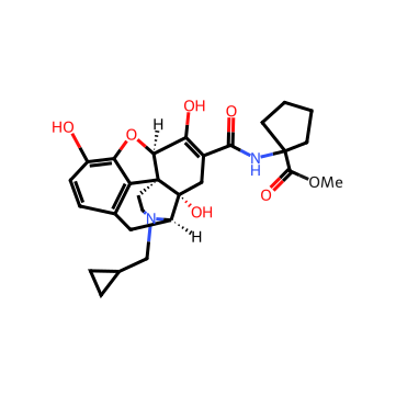 COC(=O)C1(NC(=O)C2=C(O)[C@@H]3Oc4c(O)ccc5c4[C@@]34CCN(CC3CC3)[C@H](C5)[C@]4(O)C2)CCCC1